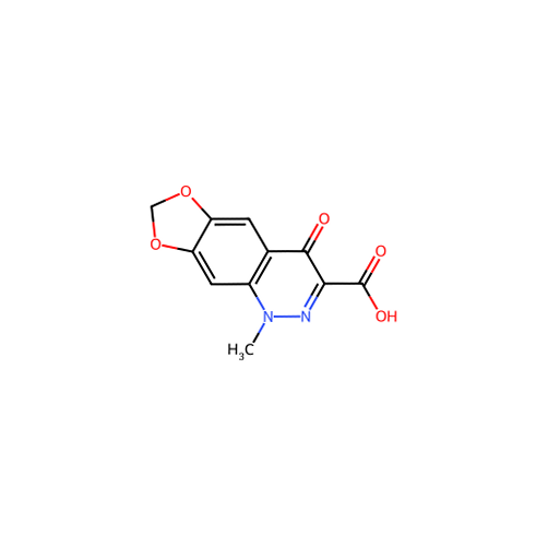 Cn1nc(C(=O)O)c(=O)c2cc3c(cc21)OCO3